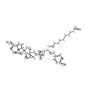 CCCCCCCCCCCCCCCCCCOC[C@@H](COP(=O)(O)OC[C@@]1(C)OCC(O)(c2ccc3c(N)ncnn23)[C@@H]1O)OCc1ccc(C#N)nc1